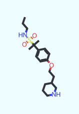 CCCNS(=O)(=O)C(C)(C)c1ccc(OCCC2CCCNC2)cc1